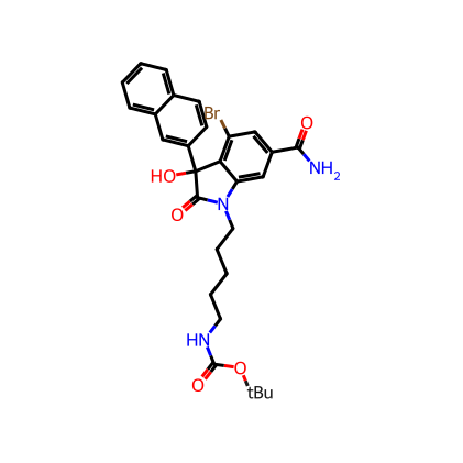 CC(C)(C)OC(=O)NCCCCCN1C(=O)C(O)(c2ccc3ccccc3c2)c2c(Br)cc(C(N)=O)cc21